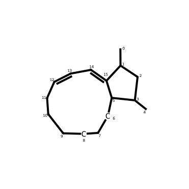 CC1CC(C)C2CCCCCCC=CC=C12